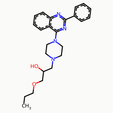 CCCOCC(O)CN1CCN(c2nc(-c3ccccc3)nc3ccccc23)CC1